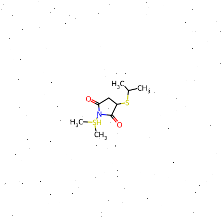 CC(C)SC1CC(=O)N([SH](C)C)C1=O